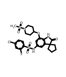 CS(=O)(=O)N1CCC(Oc2cc(NS(=O)(=O)c3ccc(Cl)cc3F)cc3c2NC(=O)C32CCCC2)CC1